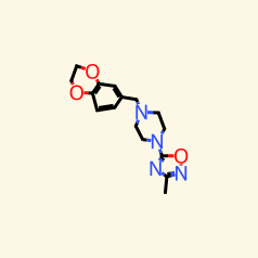 Cc1noc(N2CCN(Cc3ccc4c(c3)OCCO4)CC2)n1